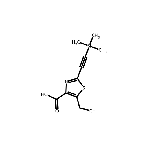 CCc1sc(C#C[Si](C)(C)C)nc1C(=O)O